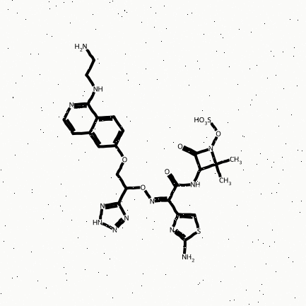 CC1(C)C(NC(=O)/C(=N\OC(COc2ccc3c(NCCN)nccc3c2)c2nn[nH]n2)c2csc(N)n2)C(=O)N1OS(=O)(=O)O